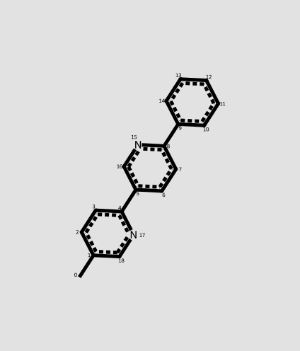 Cc1ccc(-c2ccc(-c3ccccc3)nc2)nc1